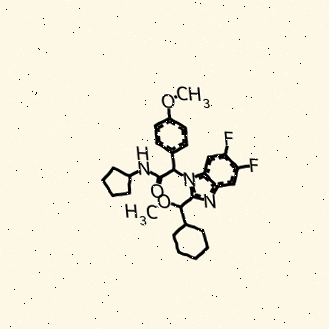 COc1ccc(C(C(=O)NC2CCCC2)n2c(C(OC)C3CCCCC3)nc3cc(F)c(F)cc32)cc1